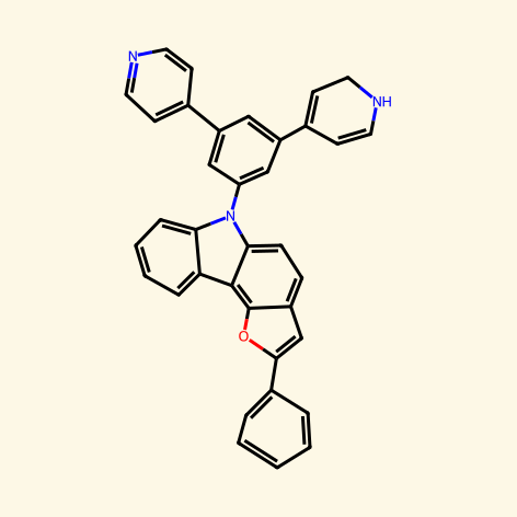 C1=CC(c2cc(-c3ccncc3)cc(-n3c4ccccc4c4c5oc(-c6ccccc6)cc5ccc43)c2)=CCN1